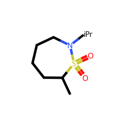 CC(C)N1CCCCC(C)S1(=O)=O